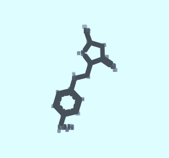 CCOC(=O)c1ccc(OCC2SC(CC)CC2=O)cc1